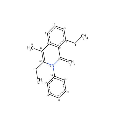 C=C1c2c(CC)cccc2C(C)=C(CC)N1c1ccccc1